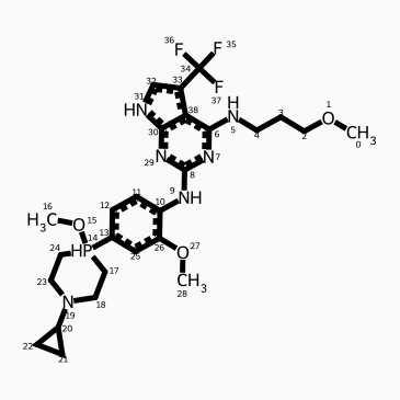 COCCCNc1nc(Nc2ccc([PH]3(OC)CCN(C4CC4)CC3)cc2OC)nc2[nH]cc(C(F)(F)F)c12